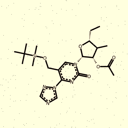 CC[C@H]1O[C@@H](n2cc(CO[Si](C)(C)C(C)(C)C)c(-n3cncn3)nc2=O)[C@@H](OC(C)=O)C1C